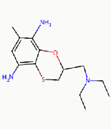 CCN(CC)CC1CSc2c(N)cc(C)c(N)c2O1